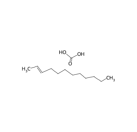 CC=CCCCCCCCCC.O=C(O)O